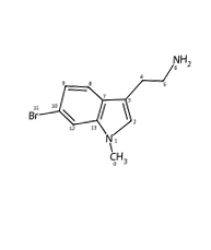 Cn1cc(CCN)c2ccc(Br)cc21